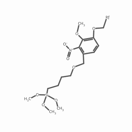 COc1c(O[CH2][Rf])ccc(COCCCC[Si](OC)(OC)OC)c1[N+](=O)[O-]